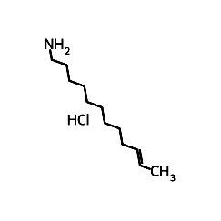 CC=CCCCCCCCCCN.Cl